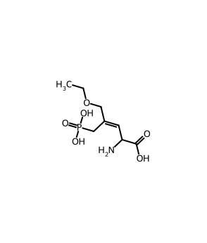 CCOCC(=CC(N)C(=O)O)CP(=O)(O)O